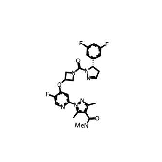 CNC(=O)c1c(C)nn(-c2cc(OC3CN(C(=O)N4N=CC[C@H]4c4cc(F)cc(F)c4)C3)c(F)cn2)c1C